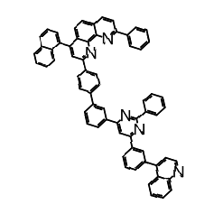 c1ccc(-c2ccc3ccc4c(-c5cccc6ccccc56)cc(-c5ccc(-c6cccc(-c7cc(-c8cccc(-c9ccnc%10ccccc9%10)c8)nc(-c8ccccc8)n7)c6)cc5)nc4c3n2)cc1